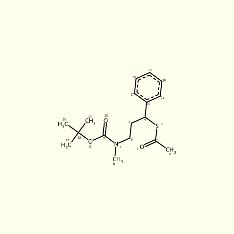 CC(=O)SC(CCN(C)C(=O)OC(C)(C)C)c1ccccc1